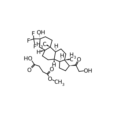 COC(=O)CCC(=O)O.C[C@]12CC[C@](O)(C(F)(F)F)C[C@H]1CC[C@@H]1[C@@H]2CC[C@]2(C)[C@@H](C(=O)CO)CC[C@@H]12